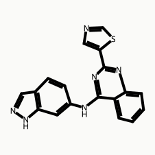 c1ccc2c(Nc3ccc4cn[nH]c4c3)nc(-c3cncs3)nc2c1